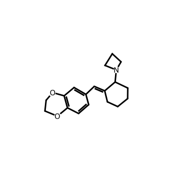 C(=C1CCCCC1N1CCC1)c1ccc2c(c1)OCCO2